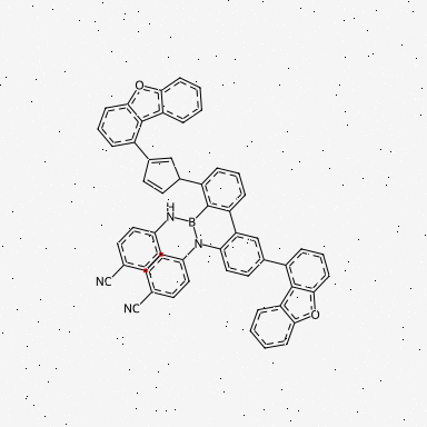 N#Cc1ccc(NB2c3c(cccc3C3C=CC(c4cccc5oc6ccccc6c45)=C3)-c3cc(-c4cccc5oc6ccccc6c45)ccc3N2c2ccc(C#N)cc2)cc1